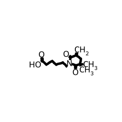 C=C1CC(C)(C)C(=O)N(CCCCCC(=O)O)C1=O